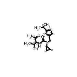 CC(C)c1nc(CN(C(=O)NC(C(N)=O)C(C)O)C2CC2)cs1